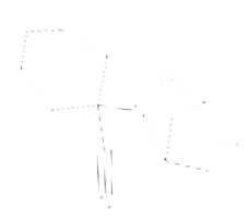 N#CC1(N2OC3C=CC2C3)CCCCC1